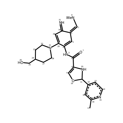 CN/C=C1/C=C(NC(=O)C2=COC(c3ccnc(C)c3)N2)C(N2CCC(CO)CC2)=CC1=N